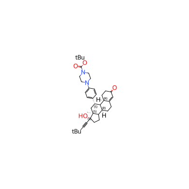 CC(C)(C)C#C[C@]1(O)CCC2[C@@H]3CCC4=CC(=O)CC[C@@H]4C3[C@@H](c3ccc(N4CCN(C(=O)OC(C)(C)C)CC4)cc3)C[C@@]21C